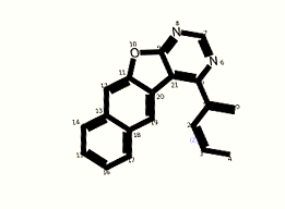 C=C(/C=C\C)c1ncnc2oc3cc4ccccc4cc3c12